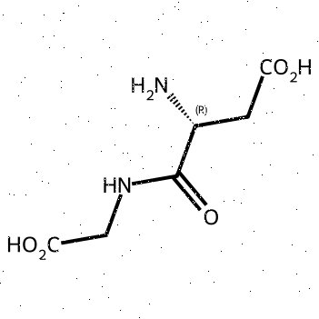 N[C@H](CC(=O)O)C(=O)NCC(=O)O